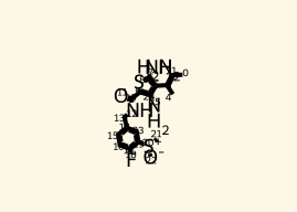 C/C(N)=C(\C)c1c(N)sc(C(=O)NCc2ccc(F)c([S+](C)[O-])c2)c1N